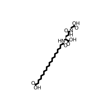 O=C(O)CCCCCCCCCCCCCCCCCCC(=O)N[C@@H](CCC(=O)NCC(=O)O)C(=O)O